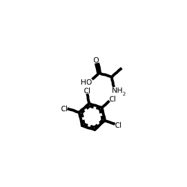 CC(N)C(=O)O.Clc1ccc(Cl)c(Cl)c1Cl